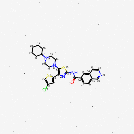 O=C(Nc1nc(-c2cc(Cl)cs2)c(N2CCN(C3CCCCC3)CC2)s1)c1ccc2cnccc2c1